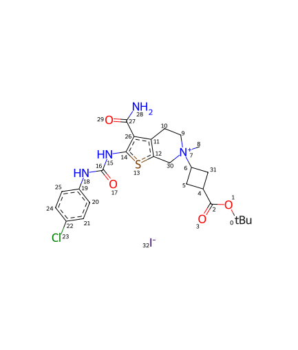 CC(C)(C)OC(=O)C1CC([N+]2(C)CCc3c(sc(NC(=O)Nc4ccc(Cl)cc4)c3C(N)=O)C2)C1.[I-]